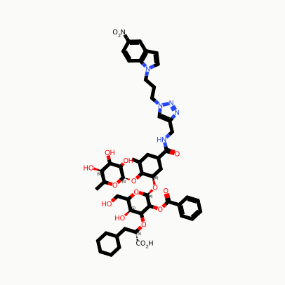 CC1CC(C(=O)NCc2cn(CCCn3ccc4cc([N+](=O)[O-])ccc43)nn2)C[C@@H](O[C@@H]2OC(CO)[C@H](O)C(O[C@@H](CC3CCCCC3)C(=O)O)C2OC(=O)c2ccccc2)C1O[C@@H]1OC(C)[C@@H](O)C(O)C1O